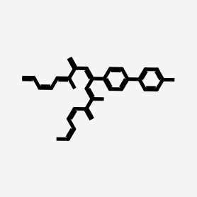 C=C/C=C\C=C(/C)C(=C)/C=C(\C=C(/C)C(=C)/C=C\C=C/C)c1ccc(-c2ccc(C)cc2)cc1